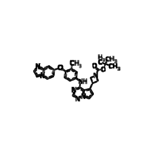 Cc1cc(Nc2ncnn3ccc(C4CN(C(=O)OC(C)(C)C)C4)c23)ccc1Oc1ccn2ccnc2c1